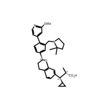 COc1cc(-c2ccc([C@@H]3CCc4ccc([C@H](C5CC5)[C@H](C)C(=O)O)cc4O3)cc2CN2CCCC2(C)C)ccn1